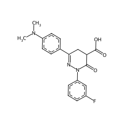 CN(C)c1ccc(C2=NN(c3cccc(F)c3)C(=O)C(C(=O)O)C2)cc1